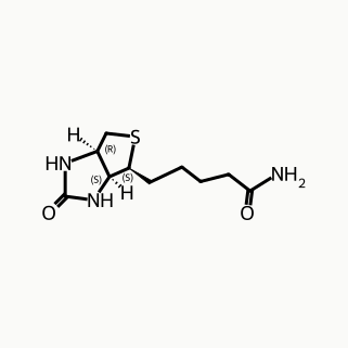 NC(=O)CCCC[C@@H]1SC[C@@H]2NC(=O)N[C@@H]21